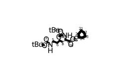 CC(C)(C)OC(=O)NCCCC[C@H](NC(=O)OC(C)(C)C)C(=O)OCc1ccccc1